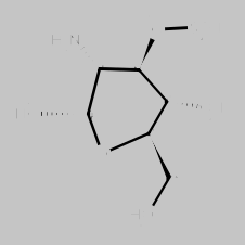 N[C@@H]1[C@@H](OS(=O)(=O)O)[C@H](O)[C@@H](CO)O[C@@H]1O